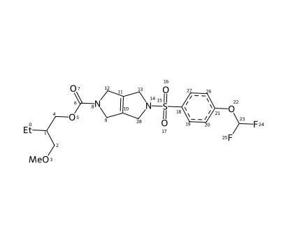 CCC(COC)COC(=O)N1CC2=C(C1)CN(S(=O)(=O)c1ccc(OC(F)F)cc1)C2